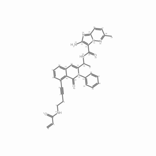 C=CC(=O)NCCC#Cc1cccc2cc(C(C)NC(=O)c3c(N)nc4ccc(C)nn34)n(-c3ccccc3)c(=O)c12